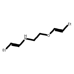 CCC=CNCCOC=CCC